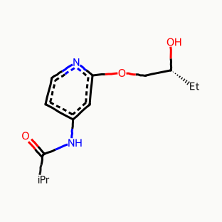 CC[C@@H](O)COc1cc(NC(=O)C(C)C)ccn1